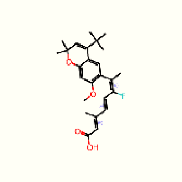 COc1cc2c(cc1\C(C)=C(F)/C=C/C(C)=C/C(=O)O)C(C(C)(C)C)=CC(C)(C)O2